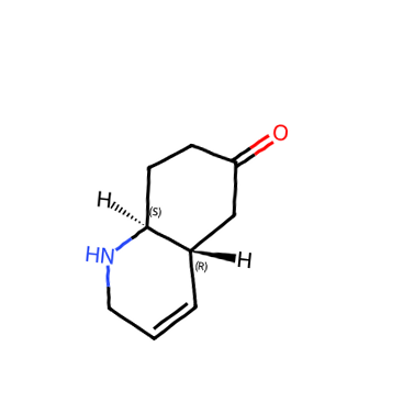 O=C1CC[C@@H]2NCC=C[C@H]2C1